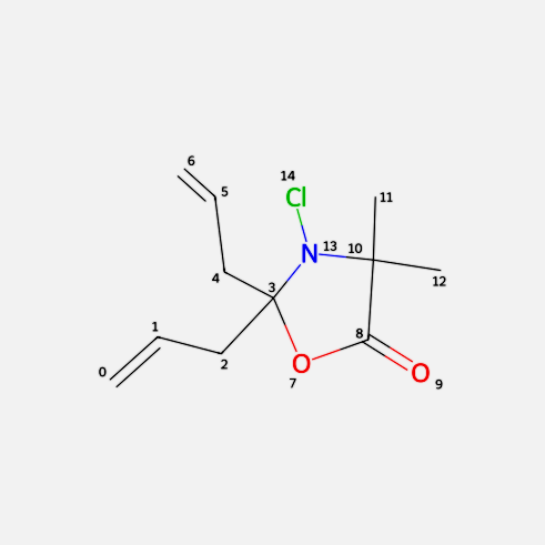 C=CCC1(CC=C)OC(=O)C(C)(C)N1Cl